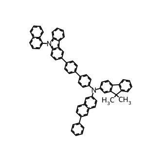 CC1(C)c2ccccc2-c2ccc(N(c3ccc(-c4ccc(-c5ccc6c(c5)c5ccccc5n6-c5cccc6ccccc56)cc4)cc3)c3ccc4cc(-c5ccccc5)ccc4c3)cc21